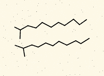 CCCCCCCCCC(C)C.CCCCCCCCCC(C)C